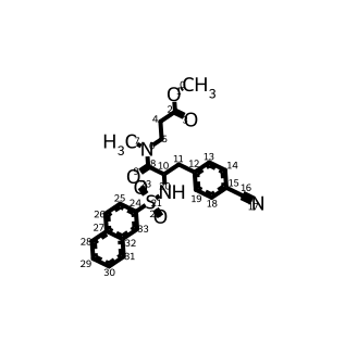 COC(=O)CCN(C)C(=O)C(Cc1ccc(C#N)cc1)NS(=O)(=O)c1ccc2ccccc2c1